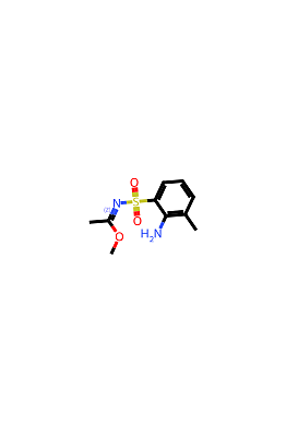 CO/C(C)=N\S(=O)(=O)c1cccc(C)c1N